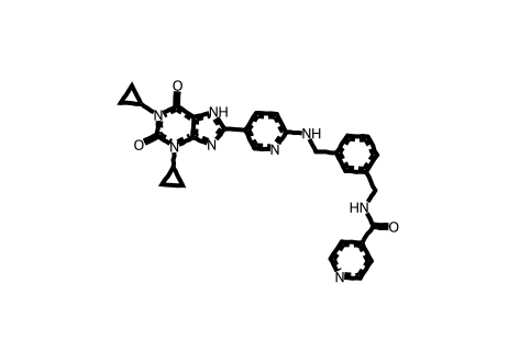 O=C(NCc1cccc(CNc2ccc(-c3nc4c([nH]3)c(=O)n(C3CC3)c(=O)n4C3CC3)cn2)c1)c1ccncc1